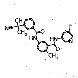 Cc1ccc(NC(=O)c2cccc(C(C)(C)C#N)c2)cc1C(=O)Nc1cncc(F)c1